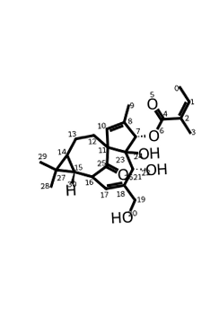 C/C=C(/C)C(=O)O[C@H]1C(C)=CC23CCC4[C@H](C(C=C(CO)[C@@H](O)C12O)C3=O)C4(C)C